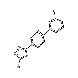 CCc1nc(-c2ccc(-c3cccc(F)c3)cn2)no1